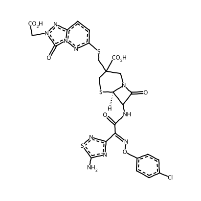 Nc1nc(C(=NOc2ccc(Cl)cc2)C(=O)NC2C(=O)N3CC(CSc4ccc5nn(CC(=O)O)c(=O)n5n4)(C(=O)O)CS[C@H]23)ns1